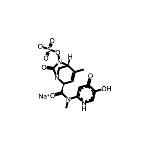 CC1=C[C@@H](C(=O)N(C)c2cc(=O)c(O)c[nH]2)N2C[C@@H]1N(OS(=O)(=O)[O-])C2=O.[Na+]